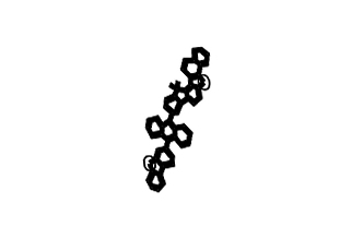 CC1(C)c2ccc(-c3c4ccccc4c(-c4ccc5c(c4)oc4ccccc45)c4ccccc34)cc2-c2ccc3oc4c5ccccc5ccc4c3c21